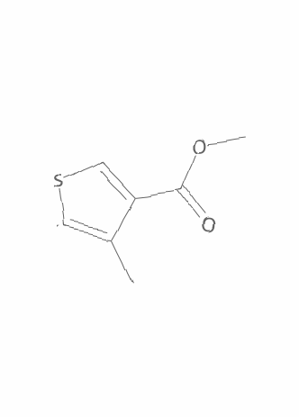 COC(=O)c1cs[c]c1C